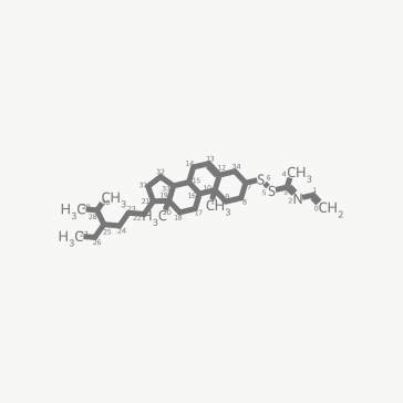 C=C/N=C(\C)SSC1CCC2(C)C(=CCC3C2CCC2(C)C(CCCC(CC)C(C)C)CCC32)C1